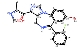 Cc1ncoc1-c1ncn2c1CN=C(c1ccccc1F)c1cc(Br)ccc1-2